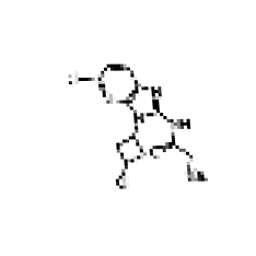 CC(C)(C)CC(=O)Nc1nc2ccc(Cl)nc2n1C1CC(O)C1